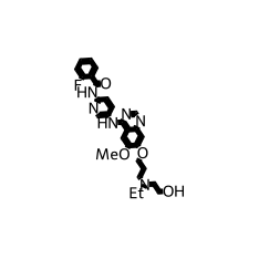 CCN(CCO)CCCOc1cc2ncnc(Nc3ccc(NC(=O)c4ccccc4F)nc3)c2cc1OC